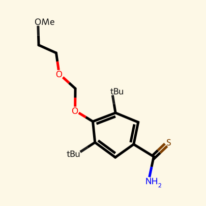 COCCOCOc1c(C(C)(C)C)cc(C(N)=S)cc1C(C)(C)C